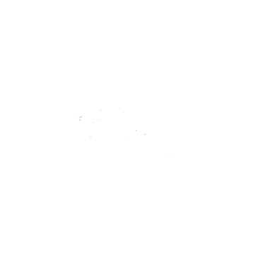 CC(=O)OC1CC[C@@]2(C)C(CC[C@H]3[C@@H]4C(O)C[C@H](C(C)=O)[C@@]4(C)C(O)C[C@@H]32)C1